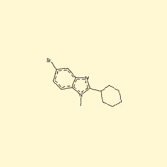 Cn1c(C2CCCCC2)nc2cc(Br)ccc21